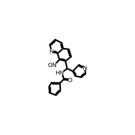 O=Nc1c(C(NC(=O)c2ccccc2)c2cccnc2)ccc2cccnc12